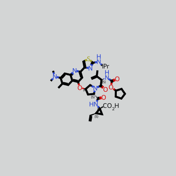 C=C[C@@H]1C[C@]1(NC(=O)[C@@H]1C[C@@H](Oc2cc(-c3csc(NC(C)C)n3)nc3cc(N(C)C)c(C)cc23)CN1C(=O)[C@@H](NC(=O)OC1CCCC1)C(=C)C)C(=O)O